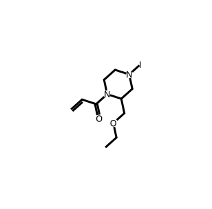 C=CC(=O)N1CCN(I)CC1COCC